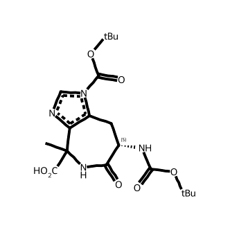 CC(C)(C)OC(=O)N[C@H]1Cc2c(ncn2C(=O)OC(C)(C)C)C(C)(C(=O)O)NC1=O